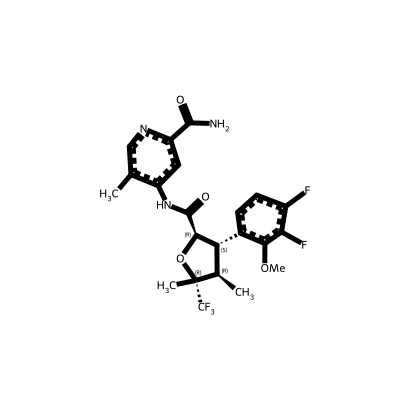 COc1c([C@@H]2[C@@H](C)[C@](C)(C(F)(F)F)O[C@H]2C(=O)Nc2cc(C(N)=O)ncc2C)ccc(F)c1F